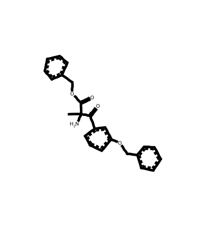 CC(N)(C(=O)OCc1ccccc1)C(=O)c1cccc(OCc2ccccc2)c1